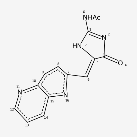 CC(=O)NC1=NC(=O)/C(=C/c2ccc3ncccc3n2)N1